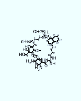 CCCCCCN(CCCN[C@@H](Cc1ccc(CCCCNC(=N)NC(=O)c2nc(Cl)c(N)nc2N)c2ccccc12)NC=O)C[C@H](O)[C@@H](O)[C@H](O)[C@H](O)CO